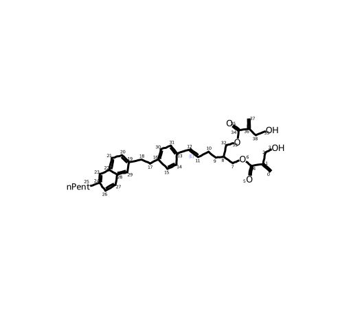 C=C(CO)C(=O)OCC(CC/C=C/c1ccc(CCc2ccc3cc(CCCCC)ccc3c2)cc1)COC(=O)C(=C)CO